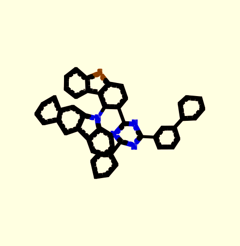 c1ccc(-c2cccc(-c3nc(-c4ccccc4)nc(-c4ccc5sc6ccccc6c5c4-n4c5ccccc5c5cc6ccccc6cc54)n3)c2)cc1